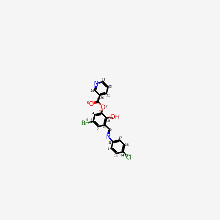 O=C(Oc1cc(Br)cc(C=Nc2ccc(Cl)cc2)c1O)c1cccnc1